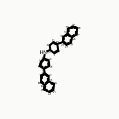 C1=CC(Nc2ccc(-c3ccc4ccccc4c3)cc2)CC=C1c1ccc2ccccc2c1